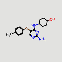 Cc1ccc(Sc2cnc(N)nc2NC2CCC(O)CC2)cc1